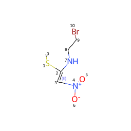 CS/C(=C/[N+](=O)[O-])NCCBr